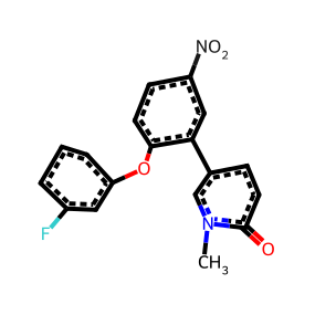 Cn1cc(-c2cc([N+](=O)[O-])ccc2Oc2cccc(F)c2)ccc1=O